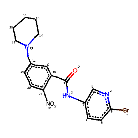 O=C(Nc1ccc(Br)nc1)c1cc(N2CCCCC2)ccc1[N+](=O)[O-]